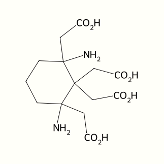 NC1(CC(=O)O)CCCC(N)(CC(=O)O)C1(CC(=O)O)CC(=O)O